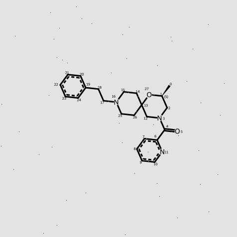 C[C@H]1CN(C(=O)c2ccccn2)CC2(CCN(CCc3ccccc3)CC2)O1